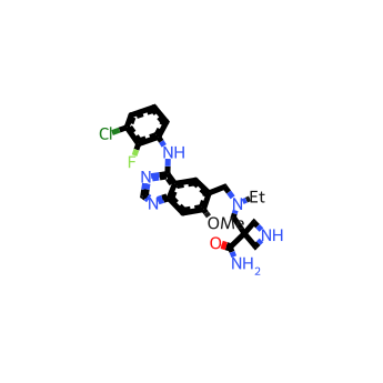 CCN(Cc1cc2c(Nc3cccc(Cl)c3F)ncnc2cc1OC)CC1(C(N)=O)CNC1